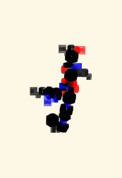 Cc1cc2cc(Oc3cc(N4CCC5(CC4)CC(N4CCC[C@@H]4c4ccccc4C(C)C)C5)ccc3C(=O)NS(=O)(=O)c3cc4c(c([N+](=O)[O-])c3)N[C@@H](C3CCC(C)(O)CC3)CO4)cnc2[nH]1